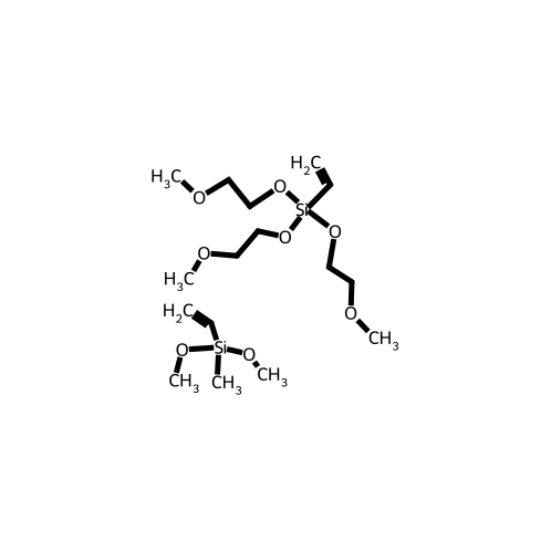 C=C[Si](C)(OC)OC.C=C[Si](OCCOC)(OCCOC)OCCOC